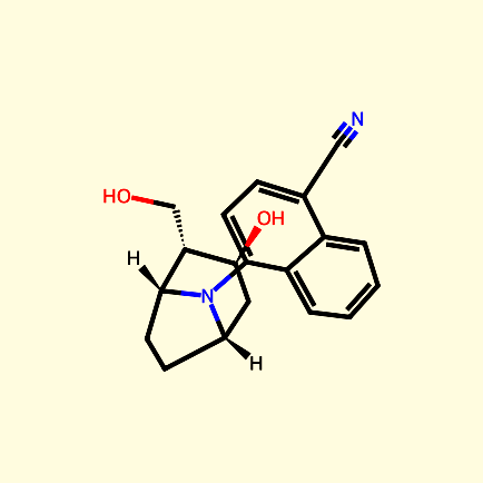 N#Cc1ccc(N2[C@H]3CC[C@@H]2[C@H](CO)[C@@H](O)C3)c2ccccc12